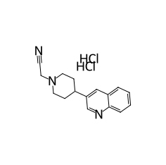 Cl.Cl.N#CCN1CCC(c2cnc3ccccc3c2)CC1